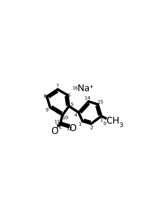 Cc1ccc(-c2ccccc2C(=O)[O-])cc1.[Na+]